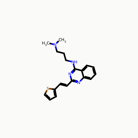 CN(C)CCCNc1nc(/C=C/c2cccs2)nc2ccccc12